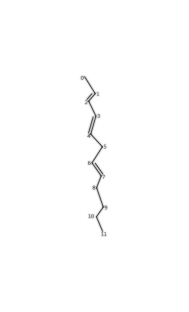 CC=CC=CCC=CCCCC